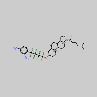 CC(C)CCC[C@@H](C)[C@H]1CCC2C3CC=C4CC(OC(F)(F)C(F)(F)C(F)(F)C(F)(F)c5ccc(N)cc5N)CC[C@]4(C)C3CC[C@@]21C